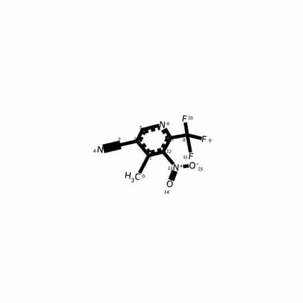 Cc1c(C#N)cnc(C(F)(F)F)c1[N+](=O)[O-]